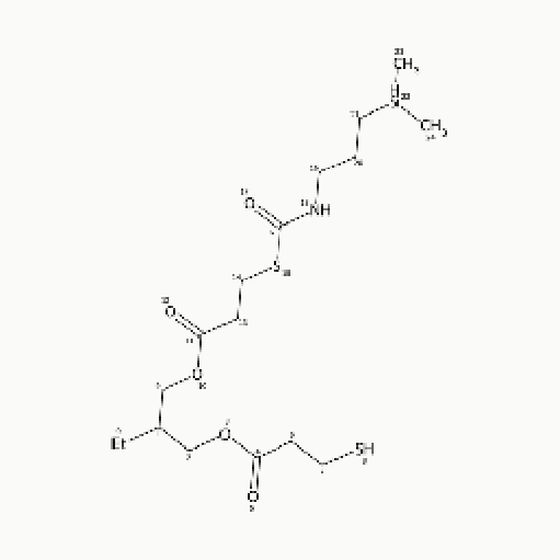 CCC(COC(=O)CCS)COC(=O)CCSC(=O)NCCC[SiH](C)C